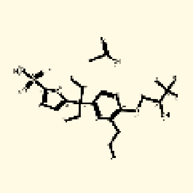 CC(=O)O.CCCc1cc(C(CC)(CC)c2ccc(S(N)(=O)=O)s2)ccc1OCC(O)C(C)(C)C